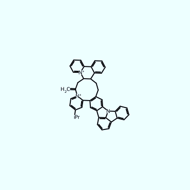 C=C1CC2C(CCc3cc4c(cc3-c3cc(C(C)C)cc[n+]31)c1cccc3c5ccccc5n4c31)c1ccccc1-c1cccc[n+]12